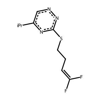 CC(C)c1cnnc(SCCC=C(F)F)n1